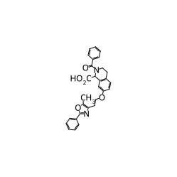 Cc1oc(-c2ccccc2)nc1CCOc1ccc2c(c1)C(C(=O)O)N(C(=O)c1ccccc1)CC2